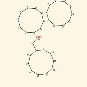 C1CCCCCCCCC1.C1CCCCCCCCC1.OCC1CCCCCCCCC1